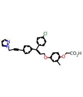 Cc1cc(OC/C=C(\c2ccc(Cl)cc2)c2ccc(C#CCn3cccn3)cc2)ccc1OCC(=O)O